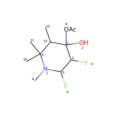 CC(=O)OC1(O)C(F)C(F)N(C)C(C)(C)C1C